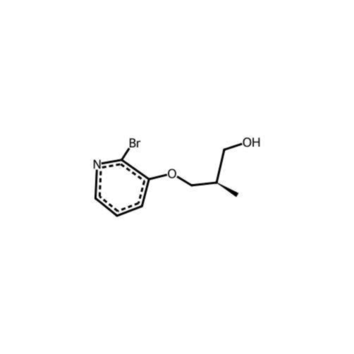 C[C@H](CO)COc1cccnc1Br